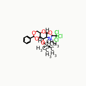 CC(C)(C)[Si](C)(C)OC1C2N=C(C(Cl)(Cl)Cl)O[C@H]2OC2COC(c3ccccc3)O[C@H]21